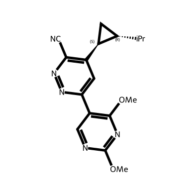 COc1ncc(-c2cc([C@H]3C[C@@H]3C(C)C)c(C#N)nn2)c(OC)n1